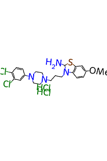 COc1ccc2c(c1)SC(N)N2CCCN1CCN(c2ccc(Cl)c(Cl)c2)CC1.Cl.Cl